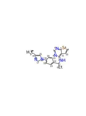 CCC(Nc1ncnc2sccc12)c1ccc(-n2cnc(C)c2)cc1